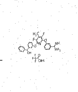 Cc1c(F)c(Oc2cccc(C(=N)N)c2)nc(Oc2cccc(C(O)c3ccccc3)c2)c1F.O=C(O)C(F)(F)F